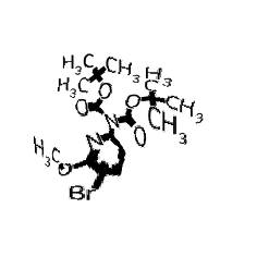 COc1nc(N(C(=O)OC(C)(C)C)C(=O)OC(C)(C)C)ccc1Br